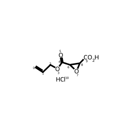 C=CCOC(=O)C1OC1C(=O)O.Cl